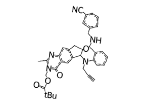 C#CCN(c1ccccc1C(=O)NCc1cccc(C#N)c1)C1CCc2cc3nc(C)n(COC(=O)C(C)(C)C)c(=O)c3cc21